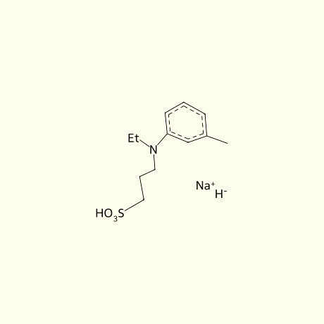 CCN(CCCS(=O)(=O)O)c1cccc(C)c1.[H-].[Na+]